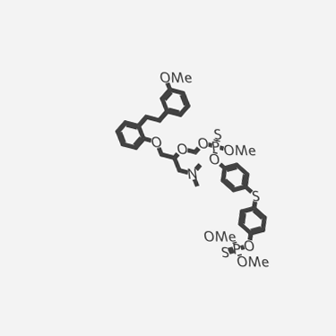 COc1cccc(CCc2ccccc2OCC(CN(C)C)OCOP(=S)(OC)Oc2ccc(Sc3ccc(OP(=S)(OC)OC)cc3)cc2)c1